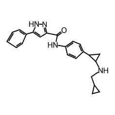 O=C(Nc1ccc(C2CC2NCC2CC2)cc1)c1cc(-c2ccccc2)[nH]n1